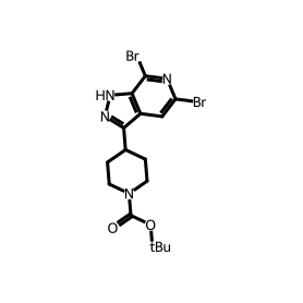 CC(C)(C)OC(=O)N1CCC(c2n[nH]c3c(Br)nc(Br)cc23)CC1